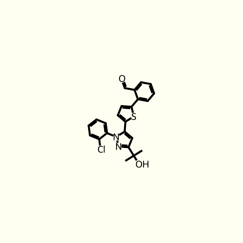 CC(C)(O)c1cc(-c2ccc(-c3ccccc3C=O)s2)n(-c2ccccc2Cl)n1